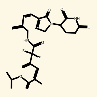 C=C(/C=C\C1=CCN(C2CCC(=O)NC2=O)C1=O)CNC(=O)C(F)(F)C(=C)/C=C(/C)C(=C)OC(C)C